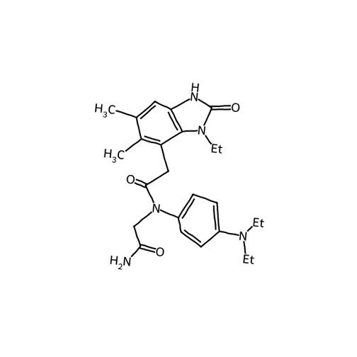 CCN(CC)c1ccc(N(CC(N)=O)C(=O)Cc2c(C)c(C)cc3[nH]c(=O)n(CC)c23)cc1